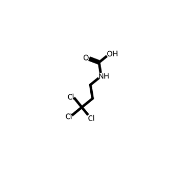 O=C(O)NCCC(Cl)(Cl)Cl